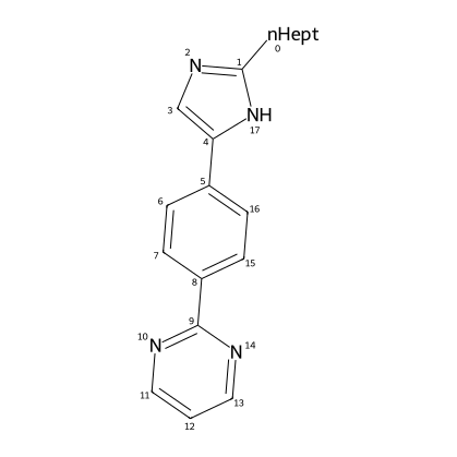 CCCCCCCc1ncc(-c2ccc(-c3ncccn3)cc2)[nH]1